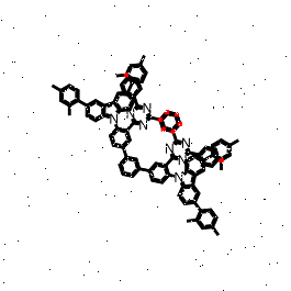 Cc1ccc(-c2ccc3c(c2)c2cc(-c4ccc(C)cc4C)ccc2n3-c2ccc(-c3cccc(-c4ccc(-n5c6ccc(-c7ccc(C)cc7C)cc6c6cc(-c7ccc(C)cc7C)ccc65)c(-c5nc(-c6ccccc6)nc(-c6ccccc6)n5)c4)c3)cc2-c2nc(-c3ccccc3)nc(-c3ccccc3)n2)c(C)c1